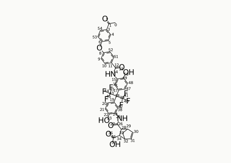 CC(=O)c1ccc(Oc2ccc(C(=O)Nc3cc(C(c4ccc(O)c(NC(=O)C5C6C=CC(C6)C5C(=O)O)c4)(C(F)(F)F)C(F)(F)F)ccc3O)cc2)cc1